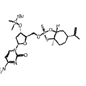 C=C(C)[C@H]1CC[C@@]2(C)SP(=S)(OC[C@H]3O[C@@H](n4ccc(N)nc4=O)C[C@@H]3O[Si](C)(C)C(C)(C)C)O[C@@H]2C1